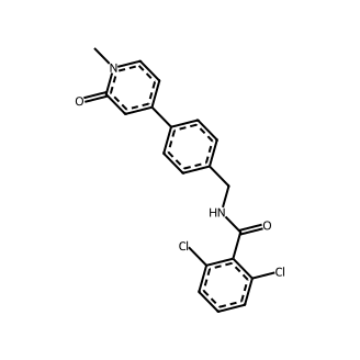 Cn1ccc(-c2ccc(CNC(=O)c3c(Cl)cccc3Cl)cc2)cc1=O